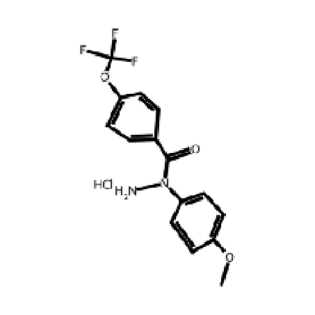 COc1ccc(N(N)C(=O)c2ccc(OC(F)(F)F)cc2)cc1.Cl